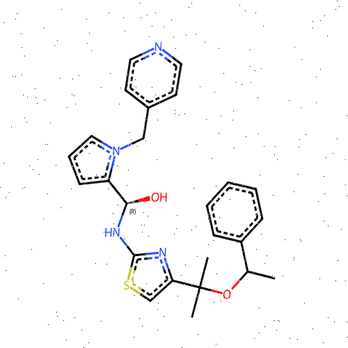 CC(OC(C)(C)c1csc(N[C@H](O)c2cccn2Cc2ccncc2)n1)c1ccccc1